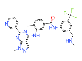 CNCc1cc(NC(=O)c2ccc(C)c(Nc3nc(-c4cccnc4)nc4c3cnn4C)c2)cc(C(F)(F)F)c1